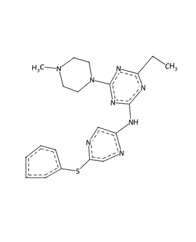 CCc1nc(Nc2cnc(Sc3ccccc3)cn2)nc(N2CCN(C)CC2)n1